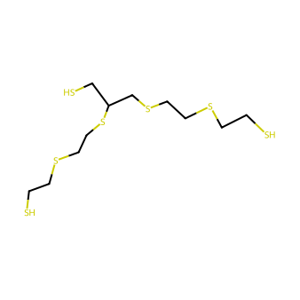 SCCSCCSCC(CS)SCCSCCS